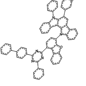 c1ccc(-c2ccc(-c3nc(-c4ccccc4)nc(-c4ccc(-n5c6ccccc6c6cc(-c7ccc8sc9ccccc9c8c7)c7c(c8ccccc8n7-c7ccccc7)c65)c5oc6ccccc6c45)n3)cc2)cc1